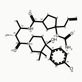 C=CCC1(OC(N)=O)CCC(C(=O)NC(C)[C@@H](C)C(=O)N2CC[C@](O)(c3ccc(Cl)cc3)C(C)(C)C2)C1